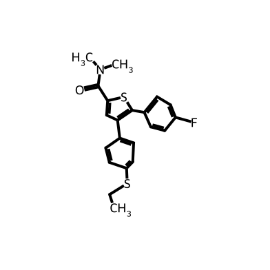 CCSc1ccc(-c2cc(C(=O)N(C)C)sc2-c2ccc(F)cc2)cc1